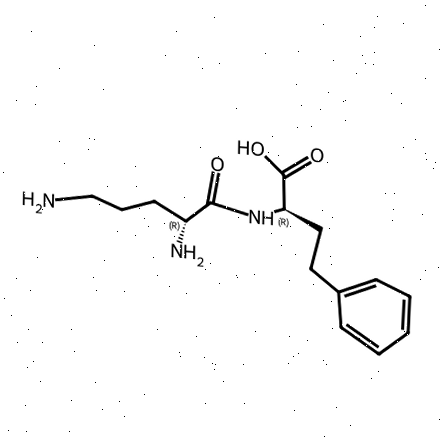 NCCC[C@@H](N)C(=O)N[C@H](CCc1ccccc1)C(=O)O